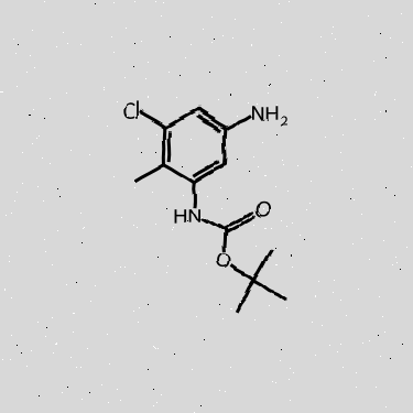 Cc1c(Cl)cc(N)cc1NC(=O)OC(C)(C)C